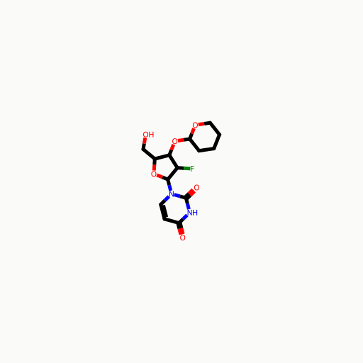 O=c1ccn(C2OC(CO)C(OC3CCCCO3)C2F)c(=O)[nH]1